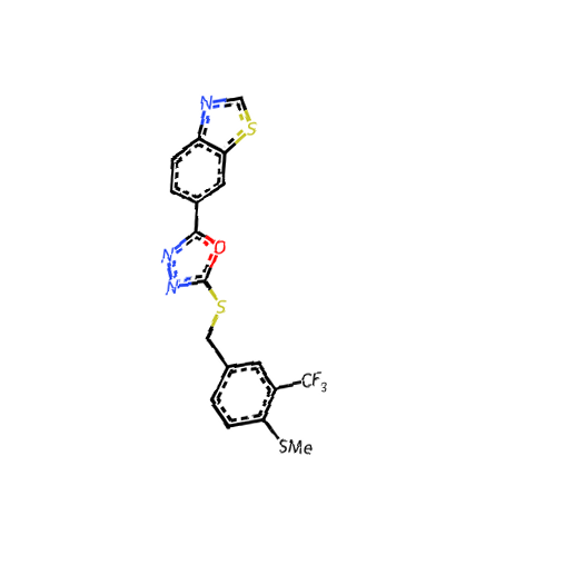 CSc1ccc(CSc2nnc(-c3ccc4ncsc4c3)o2)cc1C(F)(F)F